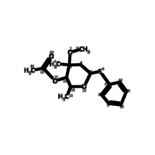 COC1(C)CC(Sc2ccccc2)OC(C)C1OC(C)=O